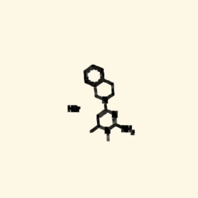 Br.CC1C=C(N2CCc3ccccc3C2)N=C(N)N1C